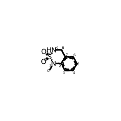 CN1c2ccccc2CNS1(=O)=O